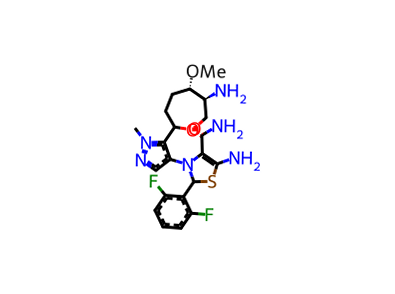 CO[C@H]1CCC(c2c(N3C(C(N)=O)=C(N)SC3c3c(F)cccc3F)cnn2C)OC[C@@H]1N